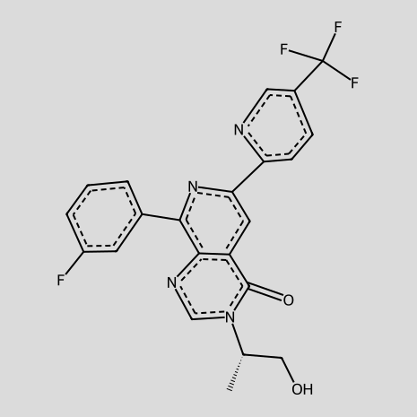 C[C@@H](CO)n1cnc2c(-c3cccc(F)c3)nc(-c3ccc(C(F)(F)F)cn3)cc2c1=O